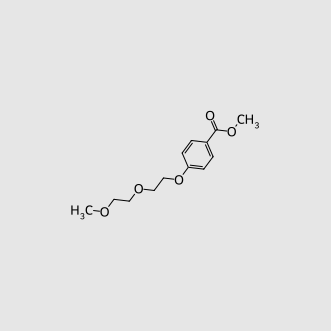 COCCOCCOc1ccc(C(=O)OC)cc1